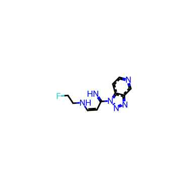 N=C(/C=C\NCCF)n1nnc2cnccc21